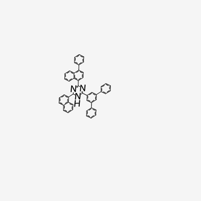 c1ccc(-c2cc(C3=NC(c4ccc(-c5ccccc5)c5ccccc45)=NC(c4cccc5ccccc45)N3)cc(-c3ccccc3)c2)cc1